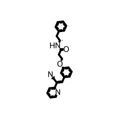 N#CC(=Cc1cccc(OCCC(=O)N[CH]Cc2ccccc2)c1)c1ccccn1